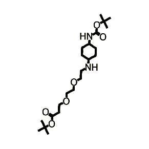 CC(C)(C)OC(=O)CCOCCOCCNC1CCC(NC(=O)OC(C)(C)C)CC1